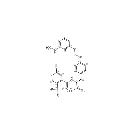 CNc1cccc(CCOc2ccc(C[C@H](NC(=O)c3cc(F)ccc3C(F)(F)F)C(=O)O)cc2)n1